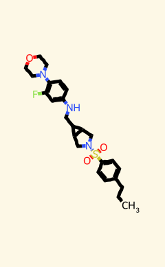 CCCc1ccc(S(=O)(=O)N2CC3C(CNc4ccc(N5CCOCC5)c(F)c4)C3C2)cc1